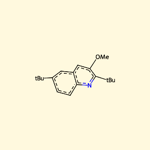 COc1cc2cc(C(C)(C)C)ccc2nc1C(C)(C)C